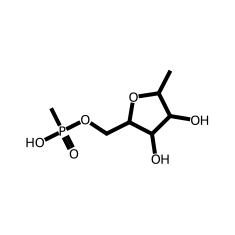 CC1OC(COP(C)(=O)O)C(O)C1O